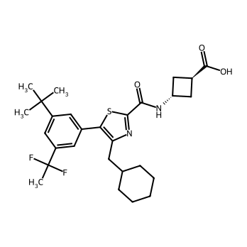 CC(C)(C)c1cc(-c2sc(C(=O)N[C@H]3C[C@H](C(=O)O)C3)nc2CC2CCCCC2)cc(C(C)(F)F)c1